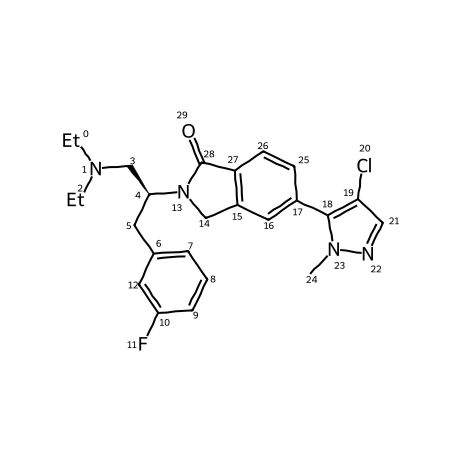 CCN(CC)C[C@H](Cc1cccc(F)c1)N1Cc2cc(-c3c(Cl)cnn3C)ccc2C1=O